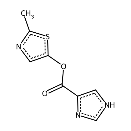 Cc1ncc(OC(=O)c2c[nH]cn2)s1